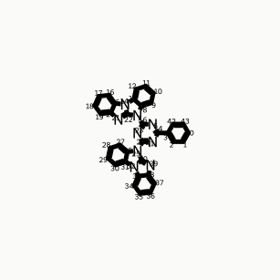 c1ccc(-c2nc(-n3c4ccccc4n4c5ccccc5nc34)nc(-n3c4ccccc4n4c5ccccc5nc34)n2)cc1